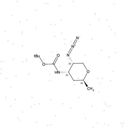 C[C@H]1C[C@H](NC(=O)OC(C)(C)C)[C@H](N=[N+]=[N-])CO1